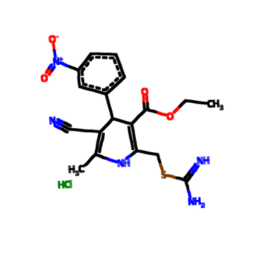 CCOC(=O)C1=C(CSC(=N)N)NC(C)=C(C#N)C1c1cccc([N+](=O)[O-])c1.Cl